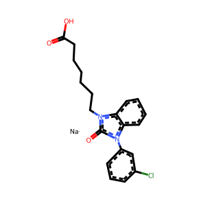 O=C(O)CCCCCCn1c(=O)n(-c2cccc(Cl)c2)c2ccccc21.[Na]